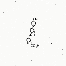 N#CC1CCN(c2ccc(NCc3ccnc(CC(=O)O)c3)nc2)CC1